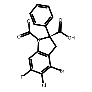 O=C(O)N1c2cc(F)c(Cl)c(Br)c2C[C@@]1(C(=O)O)c1ccccc1